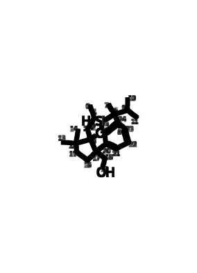 CCCC1(O[SiH2]C(C)(C)C(C)C)C(C)(C)CCC1(CO)c1ccccc1